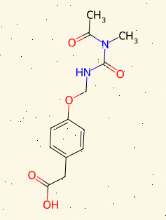 CC(=O)N(C)C(=O)NCOc1ccc(CC(=O)O)cc1